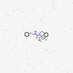 CC1(C)c2ccccc2CCN1C(=O)NCCc1ccccc1